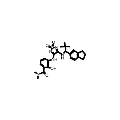 CN(C)C(=O)c1cccc(NC2=NS(=O)(=O)N=C2NC(c2ccc3c(c2)CCC3)C(C)(C)C)c1O